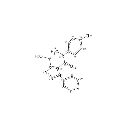 CCc1nnn(-c2ccccc2)c1C(=O)N(C)c1ccc(Cl)cc1